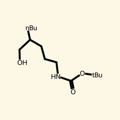 CCCCC(CO)CCCNC(=O)OC(C)(C)C